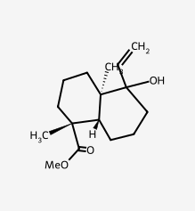 C=CC1(O)CCC[C@@H]2[C@](C)(C(=O)OC)CCC[C@]21C